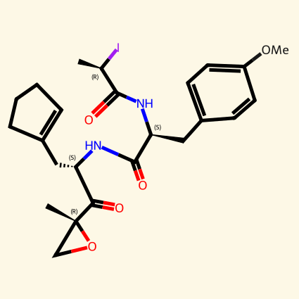 COc1ccc(C[C@H](NC(=O)[C@@H](C)I)C(=O)N[C@@H](CC2=CCCC2)C(=O)[C@@]2(C)CO2)cc1